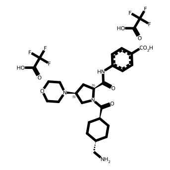 NC[C@H]1CC[C@H](C(=O)N2C[C@@H](N3CCOCC3)C[C@H]2C(=O)Nc2ccc(C(=O)O)cc2)CC1.O=C(O)C(F)(F)F.O=C(O)C(F)(F)F